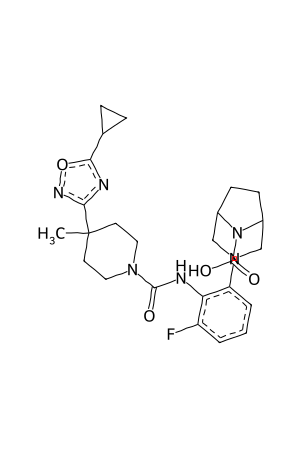 CC1(c2noc(C3CC3)n2)CCN(C(=O)Nc2c(F)cccc2N2CC3CCC(C2)N3C(=O)O)CC1